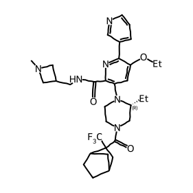 CCOc1cc(N2CCN(C(=O)C3(C(F)(F)F)CC4CCC3C4)C[C@H]2CC)c(C(=O)NCC2CN(C)C2)nc1-c1cccnc1